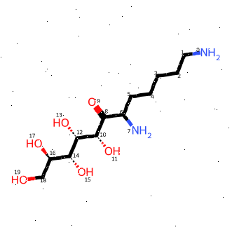 NCCCCCC(N)C(=O)[C@H](O)[C@@H](O)[C@H](O)[C@H](O)CO